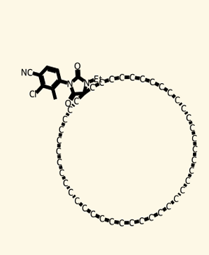 CCN1C(=O)N(c2ccc(C#N)c(Cl)c2C)C(=O)C12CCCCCCCCCCCCCCCCCCCCCCCCCCCCCCCCCCCCCCCCC2